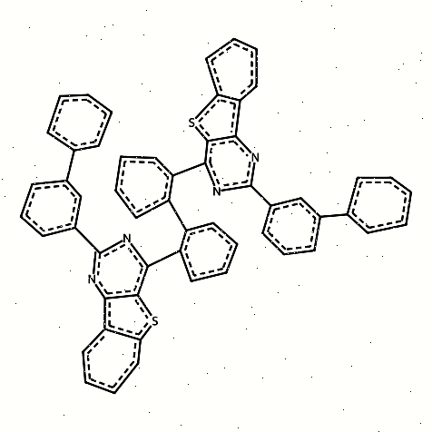 c1ccc(-c2cccc(-c3nc(-c4ccccc4-c4ccccc4-c4nc(-c5cccc(-c6ccccc6)c5)nc5c4sc4ccccc45)c4sc5ccccc5c4n3)c2)cc1